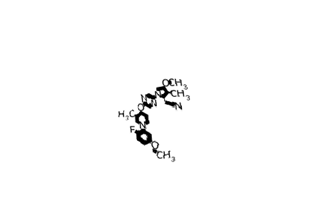 CCOc1ccc(F)c(N2CC[C@@H](Oc3cnc(N4C[C@H](OC)[C@@H](C)[C@@H]4CC#N)cn3)[C@H](C)C2)c1